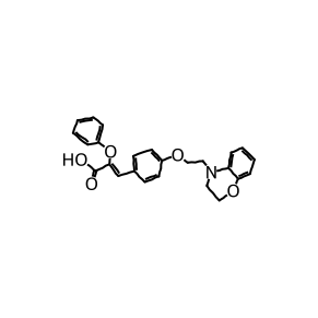 O=C(O)C(=Cc1ccc(OCCN2CCOc3ccccc32)cc1)Oc1ccccc1